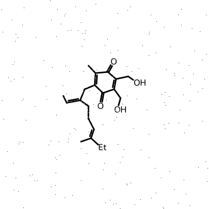 C/C=C(/CC/C=C(\C)CC)CC1=C(C)C(=O)C(CO)=C(CO)C1=O